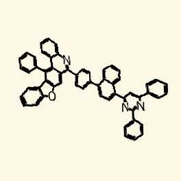 c1ccc(-c2cc(-c3ccc(-c4ccc(-c5nc6ccccc6c6c(-c7ccccc7)c7c(cc56)oc5ccccc57)cc4)c4ccccc34)nc(-c3ccccc3)n2)cc1